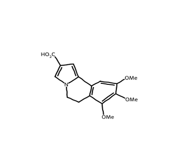 COc1cc2c(c(OC)c1OC)CCn1cc(C(=O)O)cc1-2